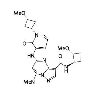 CNc1cc(Nc2cccn([C@H]3C[C@@H](OC)C3)c2=O)nc2c(C(=O)N[C@@H]3CC[C@H]3OC)cnn12